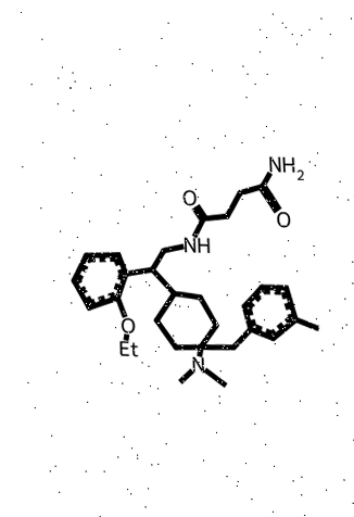 CCOc1ccccc1C(CNC(=O)CCC(N)=O)C1CCC(Cc2cccc(C)c2)(N(C)C)CC1